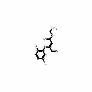 CCOC(=O)/C=C(/CBr)Oc1cc(F)ccc1F